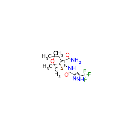 CC1(C)Cc2c(sc(NC(=O)c3cc(C(F)(F)F)[nH]n3)c2C(N)=O)C(C)(C)O1